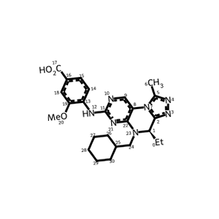 CC[C@@H]1c2nnc(C)n2-c2cnc(Nc3ccc(C(=O)O)cc3OC)nc2N1CC1CCCCC1